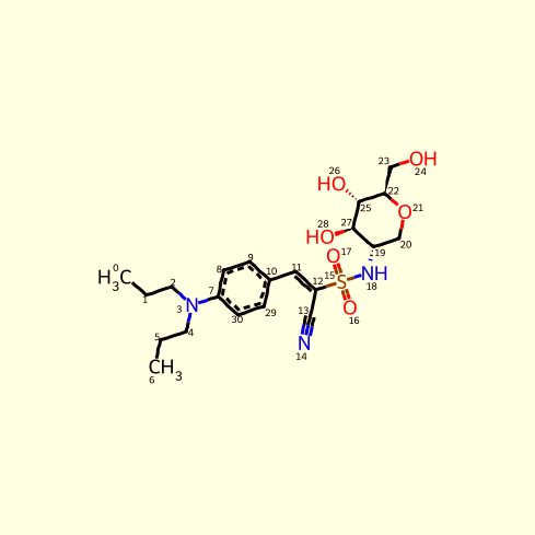 CCCN(CCC)c1ccc(/C=C(\C#N)S(=O)(=O)N[C@H]2CO[C@H](CO)[C@@H](O)[C@@H]2O)cc1